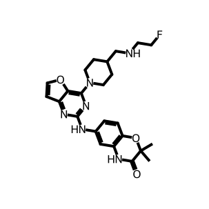 CC1(C)Oc2ccc(Nc3nc(N4CCC(CNCCF)CC4)c4occc4n3)cc2NC1=O